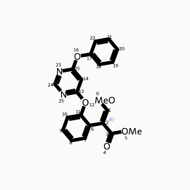 CO/C=C(/C(=O)OC)c1ccccc1Oc1cc(Oc2ccccc2)ncn1